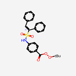 CC(C)(C)OOC(=O)c1ccc(NS(=O)(=O)/C(=C/c2ccccc2)c2ccccc2)cc1